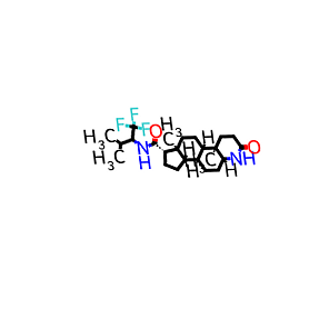 CC(C)C(NC(=O)[C@H]1CC[C@H]2[C@@H]3CC[C@H]4NC(=O)CC[C@]4(C)[C@H]3CC[C@]12C)C(F)(F)F